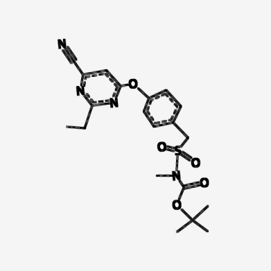 CCc1nc(C#N)cc(Oc2ccc(CS(=O)(=O)N(C)C(=O)OC(C)(C)C)cc2)n1